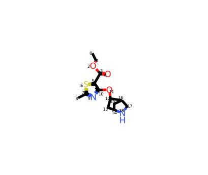 CCOC(=O)c1sc(C)nc1OC1CC2CC1CN2